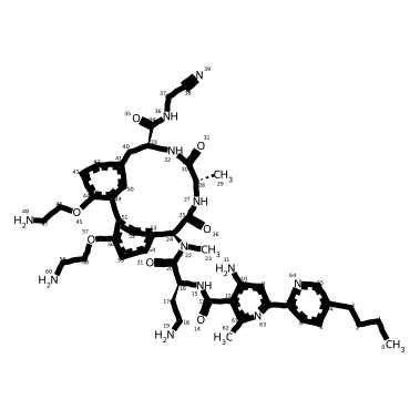 CCCCc1ccc(-c2cc(N)c(C(=O)N[C@@H](CCN)C(=O)N(C)[C@@H]3C(=O)N[C@@H](C)C(=O)N[C@H](C(=O)NCC#N)Cc4ccc(OCCN)c(c4)-c4cc3ccc4OCCN)c(C)n2)nc1